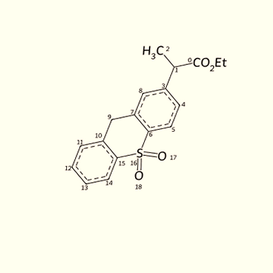 CCOC(=O)C(C)c1ccc2c(c1)Cc1ccccc1S2(=O)=O